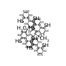 CC(c1ccc(C(C)(c2ccc(S)c(-c3ccccc3S)c2)c2ccc(S)c(-c3ccccc3S)c2)cc1)(c1ccc(S)c(-c2ccccc2S)c1)c1ccc(S)c(-c2ccccc2S)c1